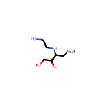 NCCNC(CC(=O)O)C(O)CO